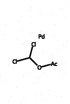 CC(=O)OC(Cl)Cl.[Pd]